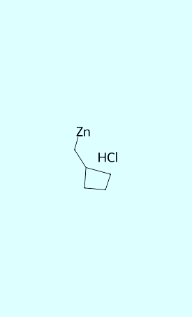 Cl.[Zn][CH2]C1CCC1